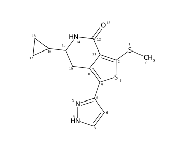 CSc1sc(-c2cc[nH]n2)c2c1C(=O)NC(C1CC1)C2